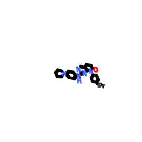 CC(C)C1CCC(n2c(=O)ccc3cnc(Nc4ccc(N5CCCCC5)cc4)nc32)CC1